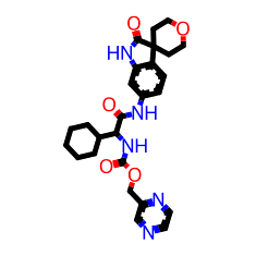 O=C(NC(C(=O)Nc1ccc2c(c1)NC(=O)C21CCOCC1)C1CCCCC1)OCc1cnccn1